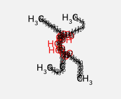 CCCCC/C=C\C/C=C\CCCCCCCC(=O)OC[C@H](COP(=O)(O)OC[C@@H](O)COP(=O)(O)OC[C@@H](COC(=O)CCCCCCC/C=C\CCCCCCCC)OC(=O)CCCCCCC/C=C\C/C=C\CCCCC)OC(=O)CCCCCCCCCCCCCCC